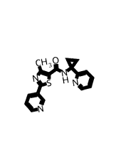 Cc1nc(-c2cccnc2)sc1C(=O)NC1(c2ccccn2)CC1